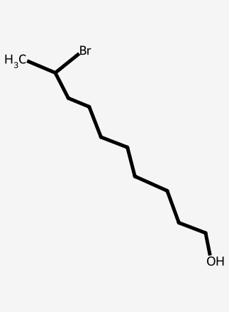 CC(Br)CCCCCCCCO